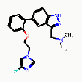 CN(C)Cc1n[nH]c2ccc(-c3ccccc3OCCn3cnc(F)c3)cc12